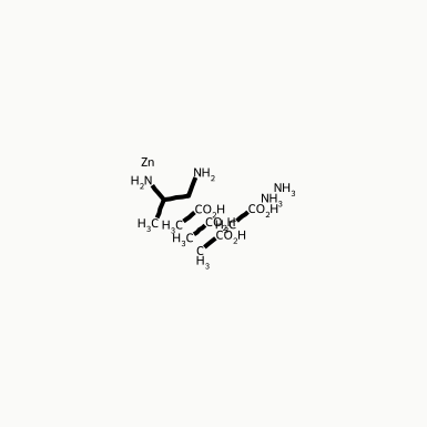 CC(=O)O.CC(=O)O.CC(=O)O.CC(=O)O.CC(N)CN.N.N.[Zn]